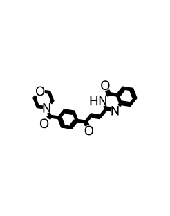 O=C(C=Cc1nc2ccccc2c(=O)[nH]1)c1ccc(C(=O)N2CCOCC2)cc1